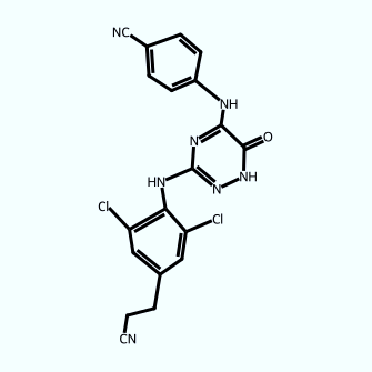 N#CCCc1cc(Cl)c(Nc2n[nH]c(=O)c(Nc3ccc(C#N)cc3)n2)c(Cl)c1